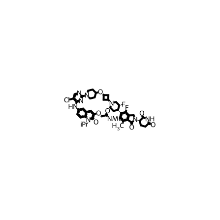 CNC(=O)COc1cc2cc(Nc3nc(N4CCC(OC5CC(N6CC[C@@H](c7cc(C)c8c(c7F)CN([C@H]7CCC(=O)NC7=O)C8=O)[C@@H](F)C6)C5)CC4)ncc3Cl)ccc2n(C(C)C)c1=O